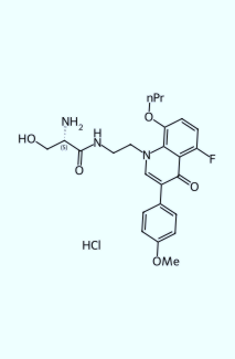 CCCOc1ccc(F)c2c(=O)c(-c3ccc(OC)cc3)cn(CCNC(=O)[C@@H](N)CO)c12.Cl